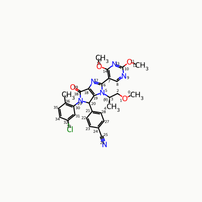 COC[C@@H](C)n1c(-c2cnc(OC)nc2OC)nc2c1C(c1ccc(C#N)cc1)N(c1cc(Cl)ccc1C)C2=O